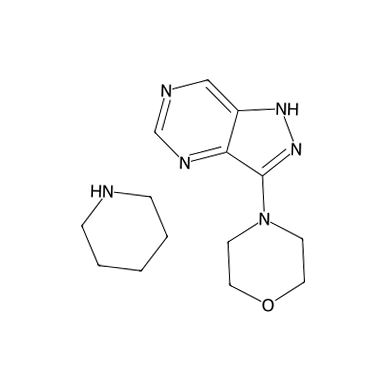 C1CCNCC1.c1ncc2[nH]nc(N3CCOCC3)c2n1